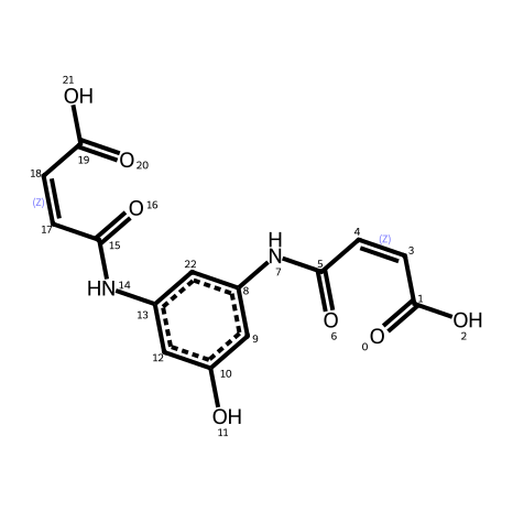 O=C(O)/C=C\C(=O)Nc1cc(O)cc(NC(=O)/C=C\C(=O)O)c1